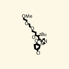 COCCOCCOCCC(=O)C(C(Oc1ccc(Cl)cc1)n1cncn1)C(C)(C)C